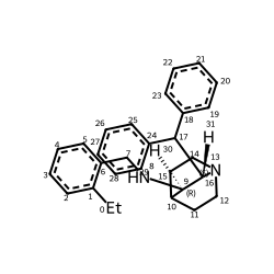 CCc1ccccc1CN[C@@H]1C2CCN(CC2)[C@H]1C(c1ccccc1)c1ccccc1